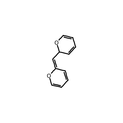 C1=COC(=CC2C=CC=CO2)C=C1